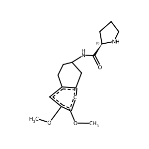 COc1cc2c(cc1OC)CC(NC(=O)[C@H]1CCCN1)CC2